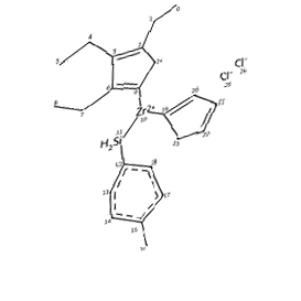 CCC1=C(CC)C(CC)=[C]([Zr+2]([SiH2]c2ccc(C)cc2)[C]2=CC=CC2)C1.[Cl-].[Cl-]